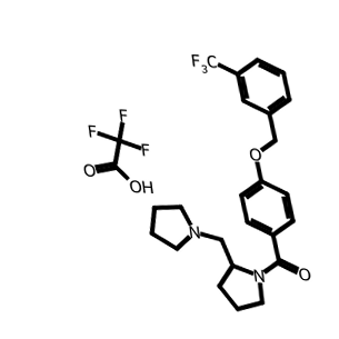 O=C(O)C(F)(F)F.O=C(c1ccc(OCc2cccc(C(F)(F)F)c2)cc1)N1CCCC1CN1CCCC1